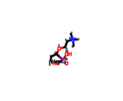 CCCCCCCCC(OCC[N+](C)(C)C)P(=O)(O)O